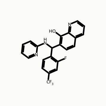 Oc1c(C(Nc2ccccn2)c2ccc(C(F)(F)F)cc2F)ccc2cccnc12